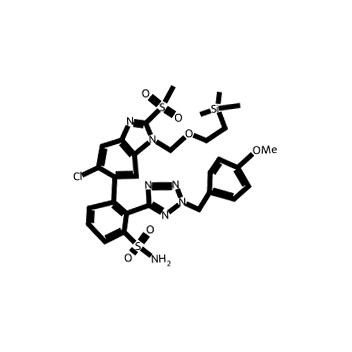 COc1ccc(Cn2nnc(-c3c(-c4cc5c(cc4Cl)nc(S(C)(=O)=O)n5COCC[Si](C)(C)C)cccc3S(N)(=O)=O)n2)cc1